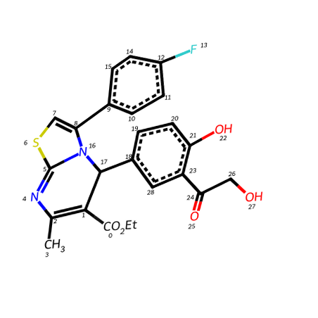 CCOC(=O)C1=C(C)N=C2SC=C(c3ccc(F)cc3)N2C1c1ccc(O)c(C(=O)CO)c1